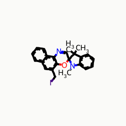 CN1c2ccccc2C(C)(C)C12C=Nc1c(c(CI)cc3ccccc13)O2